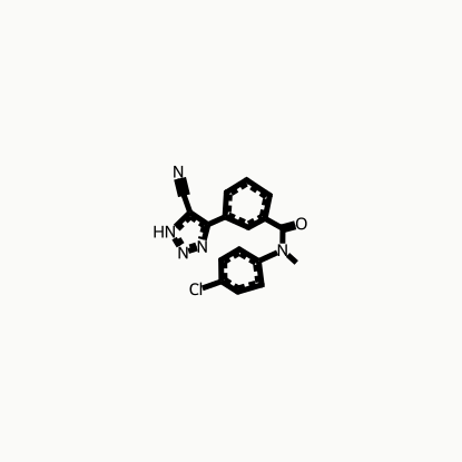 CN(C(=O)c1cccc(-c2nn[nH]c2C#N)c1)c1ccc(Cl)cc1